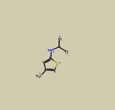 CCC(CC)Nc1cc(C)cs1